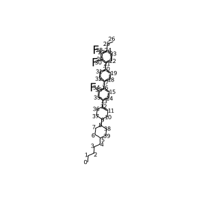 CCCCCC1CCC(C2CC=C(c3ccc(-c4ccc(-c5ccc(CC)c(F)c5F)cc4)c(F)c3)CC2)CC1